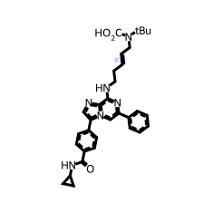 CC(C)(C)N(C/C=C/CCNc1nc(-c2ccccc2)cn2c(-c3ccc(C(=O)NC4CC4)cc3)cnc12)C(=O)O